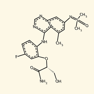 Cc1cc(N=S(C)(C)=O)cc2ncnc(Nc3ccc(F)cc3O[C@H](CO)C(N)=O)c12